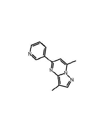 Cc1cnn2c(C)cc(-c3cccnc3)nc12